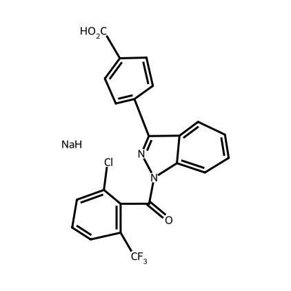 O=C(O)c1ccc(-c2nn(C(=O)c3c(Cl)cccc3C(F)(F)F)c3ccccc23)cc1.[NaH]